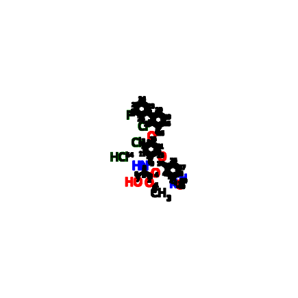 CCOC(=O)[C@@H](CO)NCc1cc(Cl)c(OCc2cccc(-c3cccc(F)c3)c2Cl)cc1OCc1ccc2nonc2c1.Cl